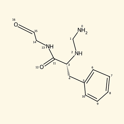 NCN[C@H](Cc1ccccc1)C(=O)NCC=O